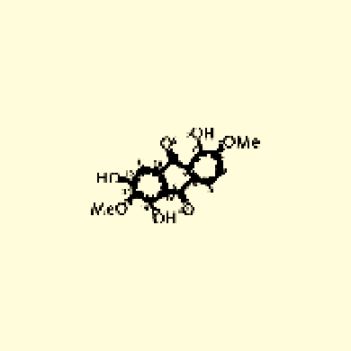 COc1ccc2c(c1O)C(=O)c1cc(O)c(OC)c(O)c1C2=O